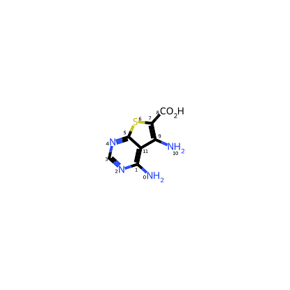 Nc1ncnc2sc(C(=O)O)c(N)c12